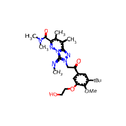 C/N=c1\n(CC(=O)c2cc(OCCO)c(OC)c(C(C)(C)C)c2)nc2c(C)c(C)c(C(=O)N(C)C)nn12